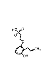 C=CCc1c(O)cccc1OCCS(=O)(=O)O